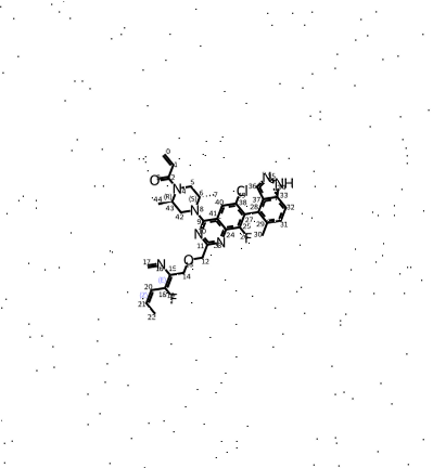 C=CC(=O)N1C[C@H](C)N(c2nc(COC/C(N=C)=C(F)/C=C\C)nc3c(F)c(-c4c(C)ccc5[nH]ncc45)c(Cl)cc23)C[C@H]1C